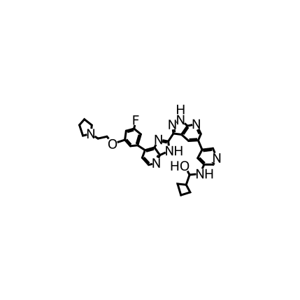 OC(Nc1cncc(-c2cnc3[nH]nc(-c4nc5c(-c6cc(F)cc(OCCN7CCCC7)c6)ccnc5[nH]4)c3c2)c1)C1CCC1